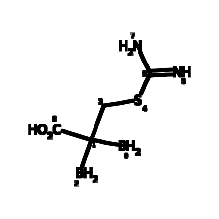 BC(B)(CSC(=N)N)C(=O)O